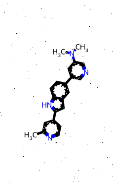 Cc1cc(-c2cc3cc(-c4cncc(N(C)C)c4)ccc3[nH]2)ccn1